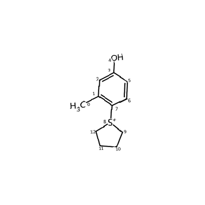 Cc1cc(O)ccc1[S+]1CCCC1